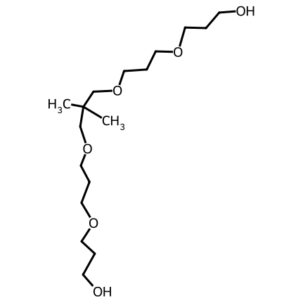 CC(C)(COCCCOCCCO)COCCCOCCCO